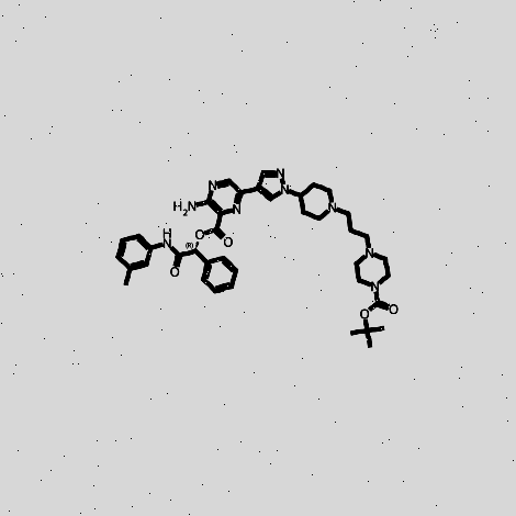 Cc1cccc(NC(=O)[C@H](OC(=O)c2nc(-c3cnn(C4CCN(CCCN5CCN(C(=O)OC(C)(C)C)CC5)CC4)c3)cnc2N)c2ccccc2)c1